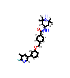 Cc1cc(-c2cccc(OCc3ccc(C(=O)NC4CC(C)(C)NC(C)(C)C4)cc3)c2)cnc1F